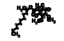 CCCCCCCCCC(C)O[N+](=O)OC1=C(C)C(=O)C(OC)=C(OC)C1=O